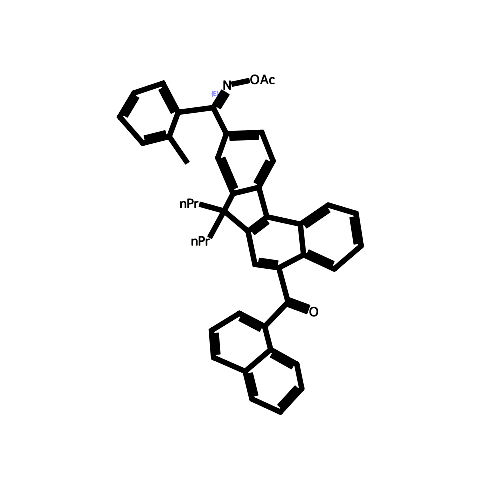 CCCC1(CCC)c2cc(/C(=N\OC(C)=O)c3ccccc3C)ccc2-c2c1cc(C(=O)c1cccc3ccccc13)c1ccccc21